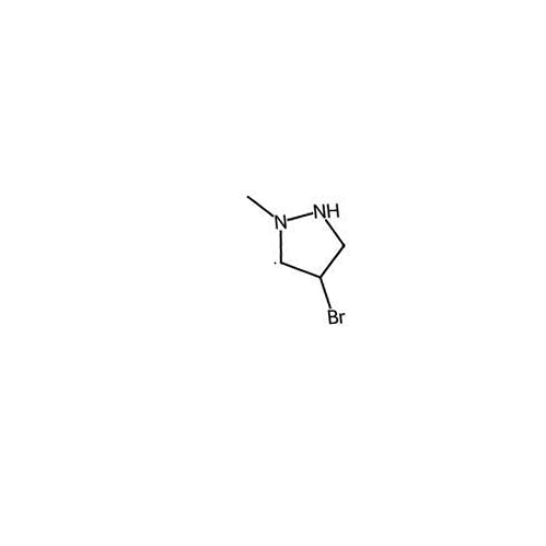 CN1[CH]C(Br)CN1